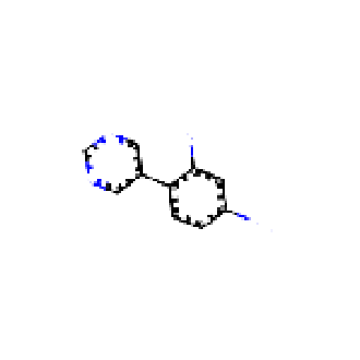 Nc1ccc(-c2cncnc2)c(N)c1